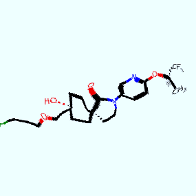 C[C@H](Oc1ccc(N2CC[C@]3(CC[C@](O)(COCCF)CC3)C2=O)cn1)C(F)(F)F